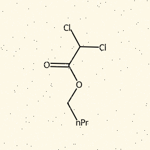 CCCCOC(=O)C(Cl)Cl